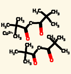 CC(C)(C)C(=O)[CH-]C(=O)C(C)(C)C.CC(C)(C)C(=O)[CH-]C(=O)C(C)(C)C.[Cu+2]